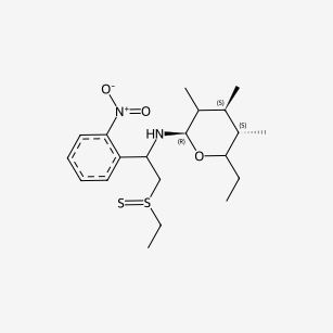 CCC1O[C@@H](NC(CS(=S)CC)c2ccccc2[N+](=O)[O-])C(C)[C@@H](C)[C@@H]1C